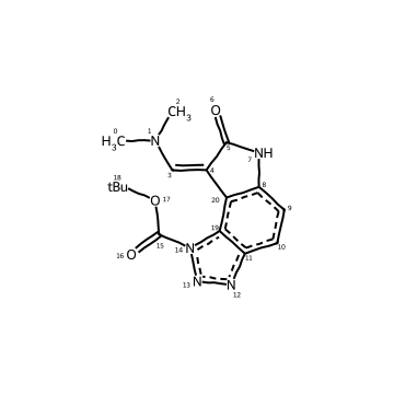 CN(C)C=C1C(=O)Nc2ccc3nnn(C(=O)OC(C)(C)C)c3c21